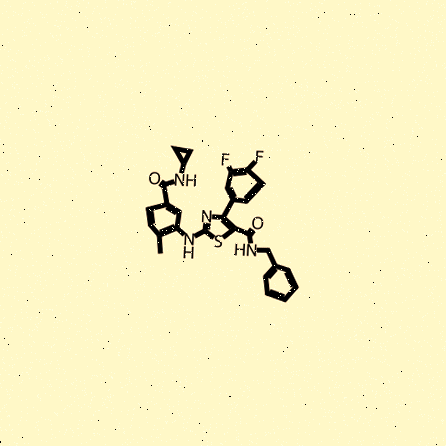 Cc1ccc(C(=O)NC2CC2)cc1Nc1nc(-c2ccc(F)c(F)c2)c(C(=O)NCc2ccccc2)s1